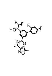 Cc1nc([C@@H](C)NC(=O)c2cc(-c3ccc(F)cc3F)cc(C(O)C(F)F)c2)no1